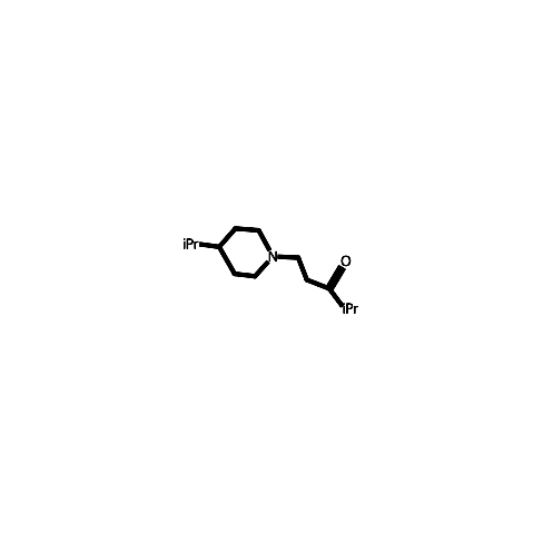 CC(C)C(=O)CCN1CCC(C(C)C)CC1